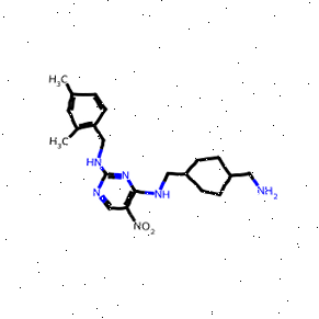 Cc1ccc(CNc2ncc([N+](=O)[O-])c(NCC3CCC(CN)CC3)n2)c(C)c1